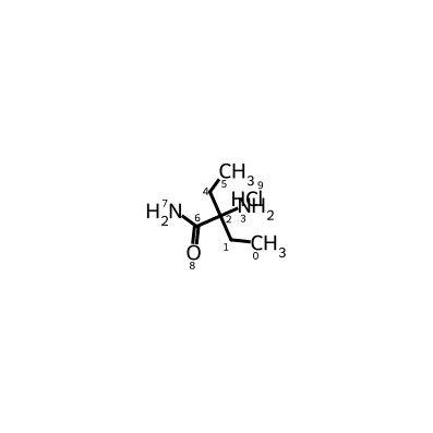 CCC(N)(CC)C(N)=O.Cl